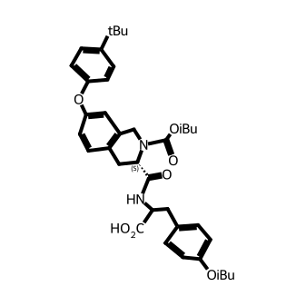 CC(C)COC(=O)N1Cc2cc(Oc3ccc(C(C)(C)C)cc3)ccc2C[C@H]1C(=O)NC(Cc1ccc(OCC(C)C)cc1)C(=O)O